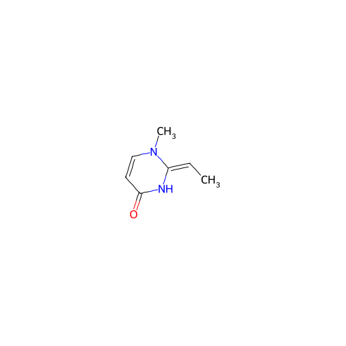 CC=C1NC(=O)C=CN1C